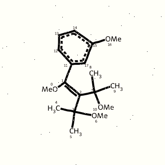 COC(=C(C(C)(C)OC)C(C)(C)OC)c1cccc(OC)c1